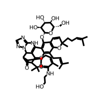 CC(C)=CCCC1(C)C=Cc2c(c(CC=C(C)C)c3c(c2O[C@H]2O[C@@H](CO)[C@H](O)[C@@H](O)[C@@H]2O)C2=C4C(C5CC6C(C)(C)OC(C/C=C(/C)C(=O)NCCO)(C5=O)C46O3)n3ncnc3N2)O1